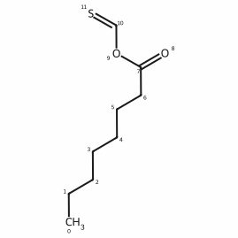 CCCCCCCC(=O)OC=S